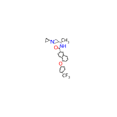 C[C@@H](NC(=O)c1ccc2c(Oc3ccc(C(F)(F)F)cc3)cccc2c1)C1CN(C2CC2)C1